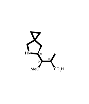 CO[C@@H]([C@@H]1CC2(CC2)CN1)[C@@H](C)C(=O)O